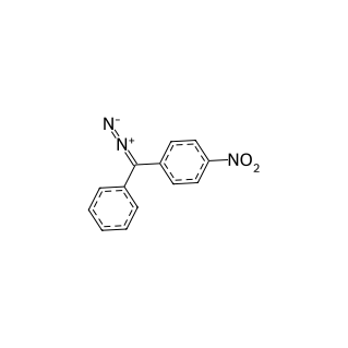 [N-]=[N+]=C(c1ccccc1)c1ccc([N+](=O)[O-])cc1